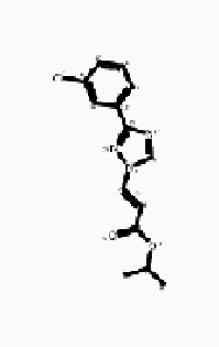 CC(C)OC(=O)/C=C/n1cnc(-c2cccc(Cl)c2)n1